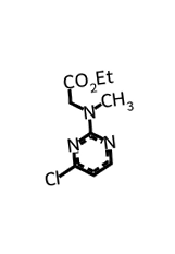 CCOC(=O)CN(C)c1nccc(Cl)n1